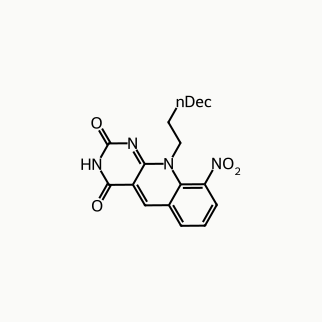 CCCCCCCCCCCCn1c2nc(=O)[nH]c(=O)c-2cc2cccc([N+](=O)[O-])c21